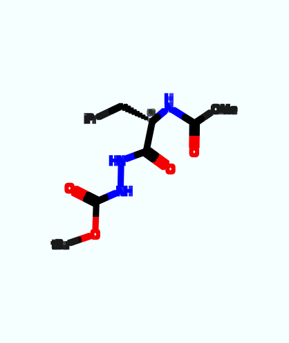 COC(=O)N[C@@H](CC(C)C)C(=O)NNC(=O)OC(C)(C)C